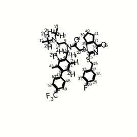 [2H]c1c([2H])c(C([2H])([2H])N(CCN(C([2H])([2H])C)C([2H])([2H])C)C(=O)Cn2c(SCc3ccc(F)cc3)nc(=O)c3c2CCC3)c([2H])c(C)c1-c1ccc(C(F)(F)F)cc1